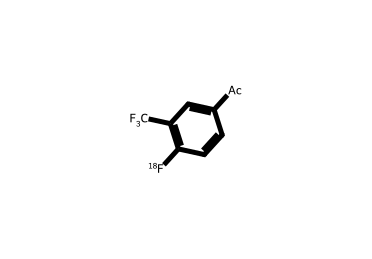 CC(=O)c1ccc([18F])c(C(F)(F)F)c1